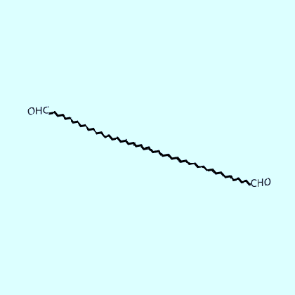 O=CCCCCCCCCCCCCCCCCCCCCCCCCCCCCCCCCCCCCCCCCCCCCCCCCCC=O